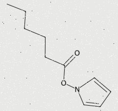 CCCCCC(=O)On1cccc1